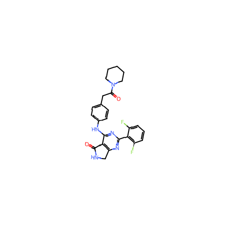 O=C1NCc2nc(-c3c(F)cccc3F)nc(Nc3ccc(CC(=O)N4CCCCC4)cc3)c21